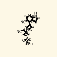 CCCCS(=O)(=O)N1CC(CC#N)(n2cc(-c3c(C#N)cnc4[nH]ccc34)cn2)C1